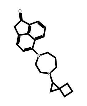 O=C1Cc2ccc(N3CCCN(C4CC45CCC5)CC3)c3cccc1c23